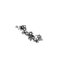 Cc1ccnc(Nc2ncc(Sc3ccnc(C(=O)NCC4(c5ccccc5)CCN(C(=O)c5ccc(Cl)c(S(N)(=O)=O)c5)CC4)c3F)s2)c1